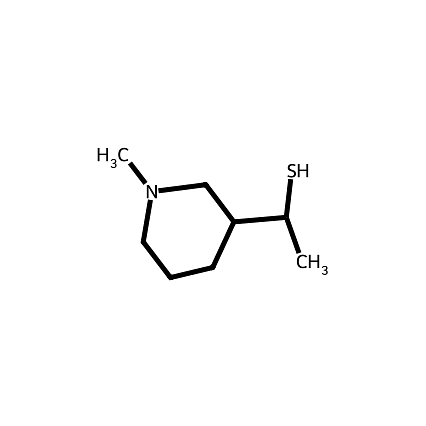 CC(S)C1CCCN(C)C1